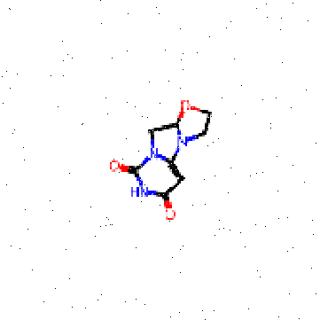 O=c1cc2n(c(=O)[nH]1)CC1OCCN21